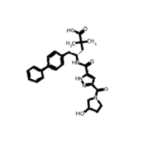 CC(C)(C[C@@H](Cc1ccc(-c2ccccc2)cc1)NC(=O)c1cc(C(=O)N2CCC(O)C2)n[nH]1)C(=O)O